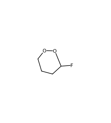 FC1CCCOO1